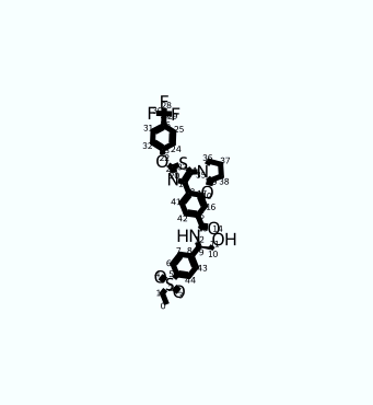 CCS(=O)(=O)c1ccc([C@H](CO)NC(=O)c2ccc(-c3nc(Oc4ccc(C(F)(F)F)cc4)sc3N3CCCC3=O)cc2)cc1